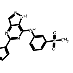 CS(=O)(=O)c1cccc(Nc2nc(-c3ccco3)nc3cn[nH]c23)c1